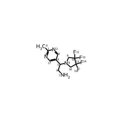 Cc1ncc(C(CN)N2CC(F)(F)C(F)(F)C2)cn1